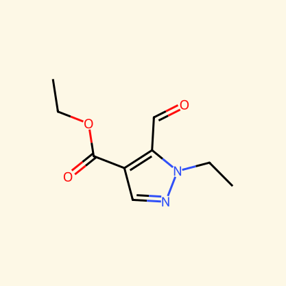 CCOC(=O)c1cnn(CC)c1C=O